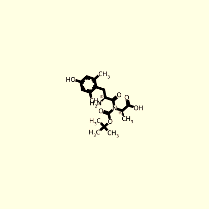 Cc1cc(O)cc(C)c1C[C@H](N)C(=O)N(C(=O)OC(C)(C)C)[C@H](C)C(=O)O